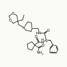 CCC1(CN2CCC(CNC(=O)[C@@H](Cc3ccccc3)NC(=O)C3(C(N)=O)CCCC3)CC2)COCOC1